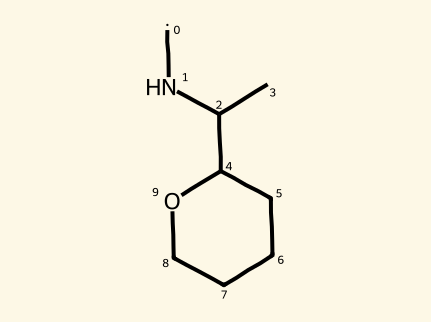 [CH2]NC(C)C1CCCCO1